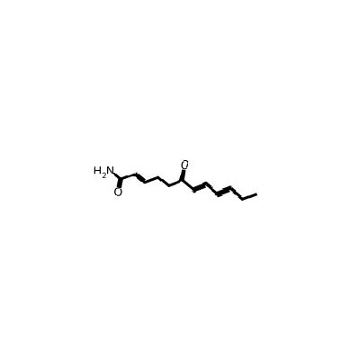 CCC=CC=CC(=O)CCC=CC(N)=O